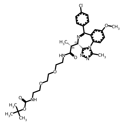 COc1ccc2c(c1)C(c1ccc(Cl)cc1)=N[C@@H]([C@@H](C)C(=O)NCCOCCOCCNC(=O)OC(C)(C)C)c1nnc(C)n1-2